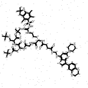 Cc1c(C)c(S(=O)(=O)NC(=N)NCCC[C@H](NC(=O)CCC(=O)OCOc2cc(N3CCOCC3)[o+]c3c(-c4ccc5c(c4)OCCO5)csc23)C(=O)NCC(=O)N[C@@H](CC(=O)OC(C)(C)C)C(=O)NC(COC(C)(C)C)C(=O)OC(C)(C)C)c(C)c2c1OC(C)(C)C2